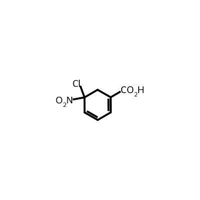 O=C(O)C1=CC=CC(Cl)([N+](=O)[O-])C1